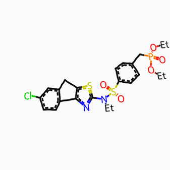 CCOP(=O)(Cc1ccc(S(=O)(=O)N(CC)c2nc3c(s2)Cc2cc(Cl)ccc2-3)cc1)OCC